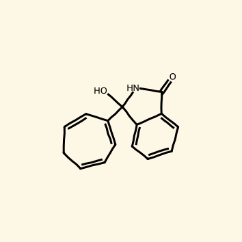 O=C1NC(O)(C2=CC=CCC=C2)c2ccccc21